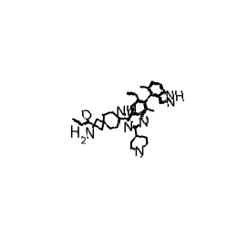 C=CC(=O)C1(N)CC2(CCC(N)(c3nc(C4CCN(C)CC4)nc4c(C)c(-c5c(C)ccc6[nH]ncc56)c(C=C)cc34)CC2)C1